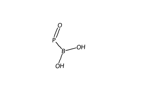 O=PB(O)O